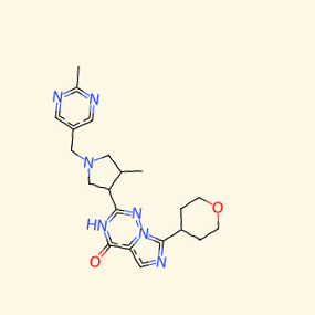 Cc1ncc(CN2CC(C)C(c3nn4c(C5CCOCC5)ncc4c(=O)[nH]3)C2)cn1